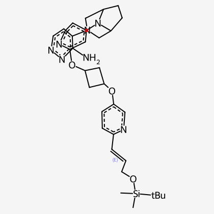 CC(C)(C)[Si](C)(C)OC/C=C/c1ccc(OC2CC(Oc3cc(N4C5CCC4CN(c4ccnnc4N)C5)ccn3)C2)cn1